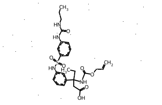 C=CCOC(=O)NC(CC)(CC(=O)O)c1cccc(NS(=O)(=O)c2cccc(NC(=O)NCCC)c2)c1